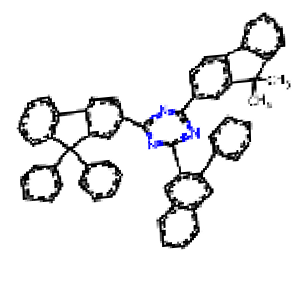 CC1(C)c2ccccc2-c2ccc(-c3nc(-c4ccc5c(c4)C(c4ccccc4)(c4ccccc4)c4ccccc4-5)nc(-c4cc5ccccc5cc4-c4ccccc4)n3)cc21